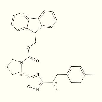 Cc1ccc(C[C@H](C)c2noc([C@@H]3CCCN3C(=O)OCC3c4ccccc4-c4ccccc43)n2)cc1